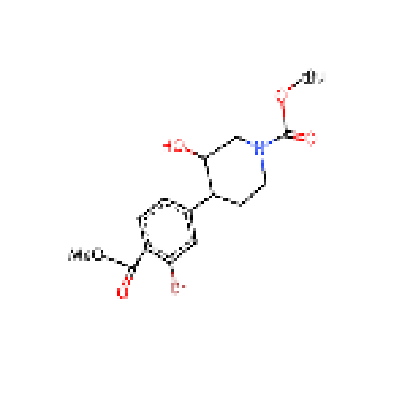 COC(=O)c1ccc(C2CCN(C(=O)OC(C)(C)C)CC2O)cc1Br